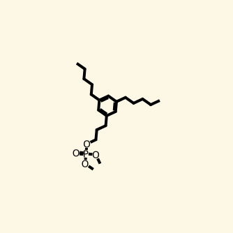 CCCCCc1cc(CCCCC)cc(CCCOP(=O)(OC)OC)c1